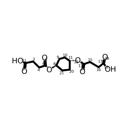 O=C(O)CCC(=O)O[C@H]1CC[C@H](OC(=O)CCC(=O)O)CC1